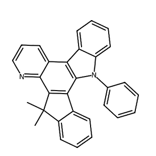 CC1(C)c2ccccc2-c2c1c1ncccc1c1c3ccccc3n(-c3ccccc3)c21